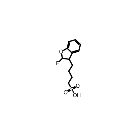 O=S(=O)(O)CCCCC1c2ccccc2OC1F